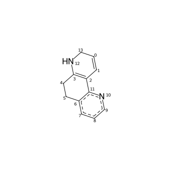 C1=CC2=C(CCc3cccnc32)NC1